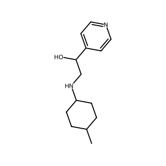 CC1CCC(NCC(O)c2ccncc2)CC1